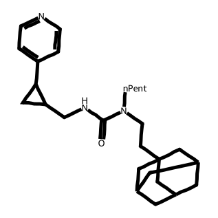 CCCCCN(CCC12CC3CC(CC(C3)C1)C2)C(=O)NCC1CC1c1ccncc1